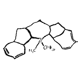 [CH3][Zr]1([CH3])[CH]2C(CCC3CC4C=CC=CC4[CH]31)CC1C=CC=CC12